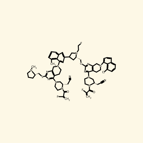 C=C(F)C(=O)N1CCN(c2nc(OC[C@@H]3CC(c4cc(N5CCc6c(nc(SC[C@@H]7CCCN7C)nc6N6CCN(C(=O)C(=C)F)[C@@H](CC#N)C6)C5)c5c(C)cccc5c4)CN3CCF)nc3c2CCN(c2cccc4cccc(Cl)c24)C3)C[C@@H]1CC#N